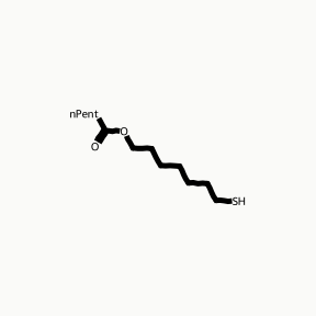 CCCCCC(=O)OCCCCCCCS